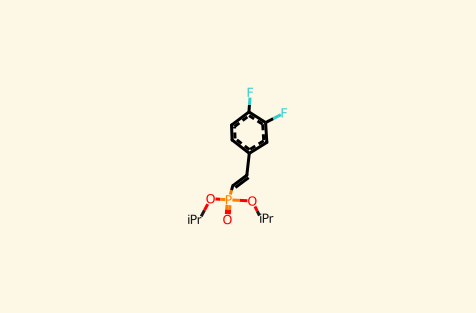 CC(C)OP(=O)(C=Cc1ccc(F)c(F)c1)OC(C)C